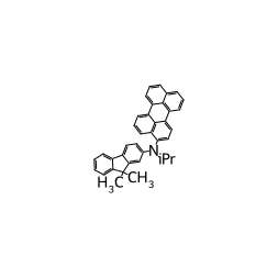 CC(C)N(c1ccc2c(c1)C(C)(C)c1ccccc1-2)c1ccc2c3cccc4cccc(c5cccc1c52)c43